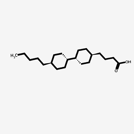 CCCCC[C@H]1CC[C@H]([C@H]2CC[C@H](CCCC(=O)O)CC2)CC1